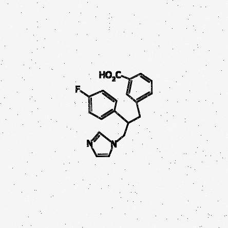 O=C(O)c1cccc(CC(Cn2ccnc2)c2ccc(F)cc2)c1